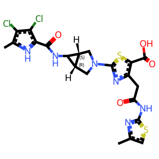 Cc1csc(NC(=O)Cc2nc(N3C[C@@H]4C(NC(=O)c5[nH]c(C)c(Cl)c5Cl)[C@@H]4C3)sc2C(=O)O)n1